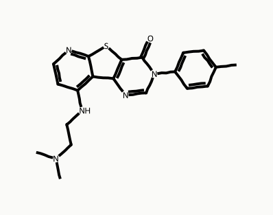 Cc1ccc(-n2cnc3c(sc4nccc(NCCN(C)C)c43)c2=O)cc1